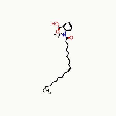 CCCCCCCC/C=C\CCCCCCCC(=O)N(C)c1ccccc1C(=O)O